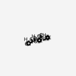 CN(CC1CCOCC1)C(=O)Oc1ccc2c(c1)C(C)(C)CN2Cc1ccccc1